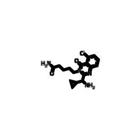 NC(=O)CCCCn1c(C(N)C2CC2)nc2cccc(Cl)c2c1=O